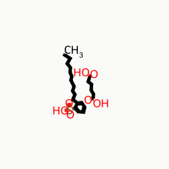 CCCCCCCCCCCCc1ccccc1S(=O)(=O)O.O=C(O)CCCCC(=O)O